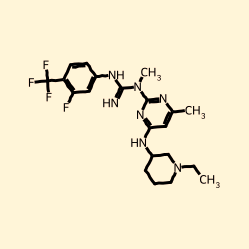 CCN1CCCC(Nc2cc(C)nc(N(C)C(=N)Nc3ccc(C(F)(F)F)c(F)c3)n2)C1